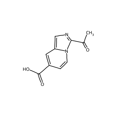 CC(=O)c1ncc2cc(C(=O)O)ccn12